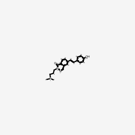 CN(C)CCCn1ncc2cc(C=Cc3ccc(O)cc3)ccc2c1=O